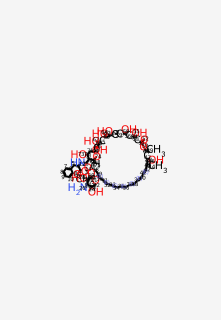 COC(=O)C(Cc1ccccc1)NC(=O)C1[C@@H]2CC(O[C@@H]3OC[C@@H](O)[C@H](N)[C@@H]3O)/C=C/C=C/C=C/C=C/C=C/C=C/C=C/[C@H](C)[C@@H](O)C[C@H](C)OC(=O)C[C@H](O)CC(O)CCC(O)C(O)CC(O)CC(O)(C[C@@H]1O)O2